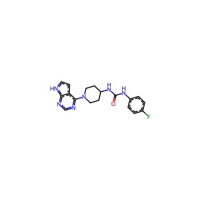 O=C(Nc1ccc(F)cc1)NC1CCN(c2ncnc3[nH]ccc23)CC1